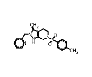 C=C1C2=C(CN(S(=O)(=O)c3ccc(C)cc3)CC2)NN1Cc1ccccn1